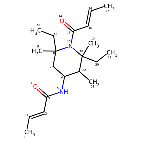 CC=CC(=O)NC1CC(C)(CC)N(C(=O)C=CC)C(C)(CC)C1C